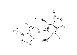 C=Cc1c(C)c2c(c(O)c1C/C=C(/C)C1CCCC1C(=O)O)C(=O)OC2